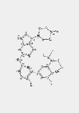 CC(C)N1CCOc2c(F)cc(-c3nc(Nc4ccc5c(N6CCN(C)CC6)c[nH]c5c4)ncc3F)cc21